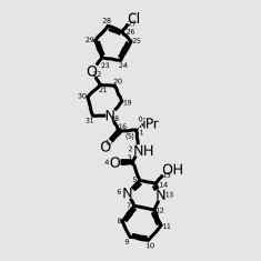 CC(C)[C@H](NC(=O)c1nc2ccccc2nc1O)C(=O)N1CCC(Oc2ccc(Cl)cc2)CC1